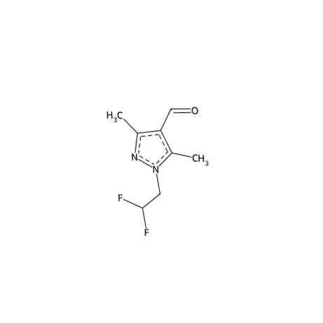 Cc1nn(CC(F)F)c(C)c1C=O